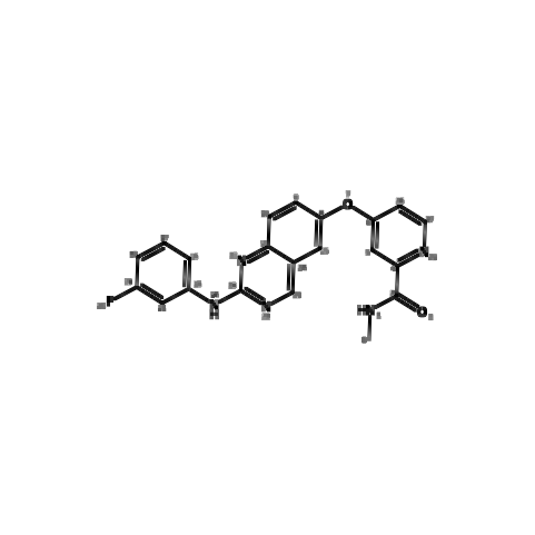 CNC(=O)c1cc(Oc2ccc3nc(Nc4cccc(F)c4)ncc3c2)ccn1